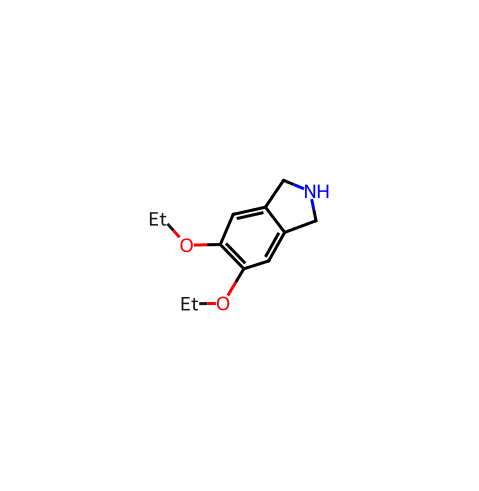 CCOc1cc2c(cc1OCC)CNC2